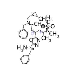 C/C(=C\C(=C/C(C)N(Cc1ccccc1)CC1CC1C)c1nnc([C@H](N)Cc2ccccc2)o1)N(C)S(C)(=O)=O